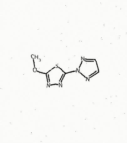 COc1nnc(-n2nccn2)s1